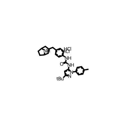 Cc1ccc(-n2nc(C(C)(C)C)cc2NC(=O)Nc2ccc(CC3CC4CCC(C3)N4)cc2)cc1.Cl.Cl